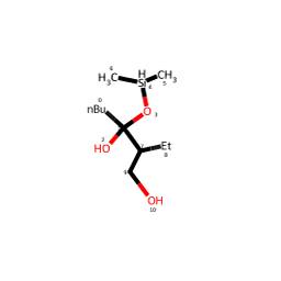 CCCCC(O)(O[SiH](C)C)C(CC)CO